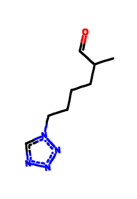 CC(C=O)CCCCn1cnnn1